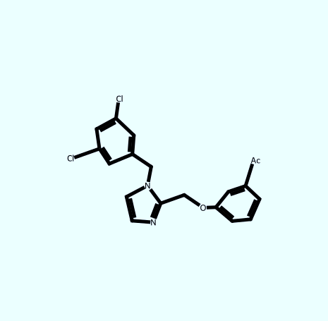 CC(=O)c1cccc(OCc2nccn2Cc2cc(Cl)cc(Cl)c2)c1